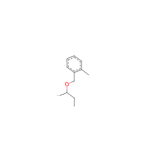 [CH2]C(CC)OCc1ccccc1C